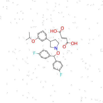 CC(C)Oc1cccc(C2CCN(OC(c3ccc(F)cc3)c3ccc(F)cc3)C2)c1.O=C(O)C=CC(=O)O